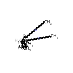 CCCCCCCC/C=C/CCCCCCCC(=O)OC[C@]1(C)C=C2C(=O)[C@](C)(O)C3(CC3)C(C)=C2C1OC(=O)CCCCCCC/C=C/CCCCCCCC